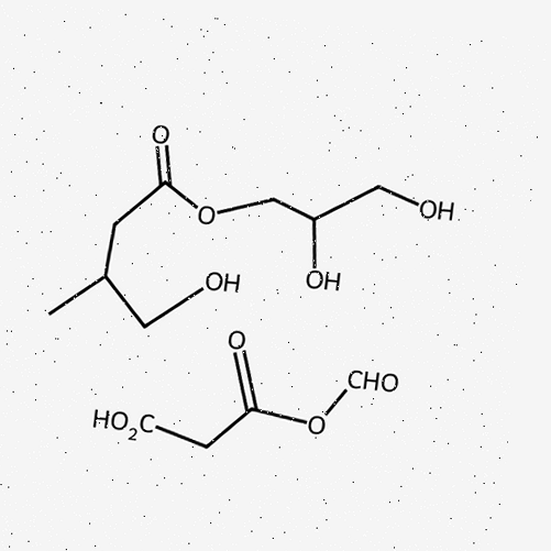 CC(CO)CC(=O)OCC(O)CO.O=COC(=O)CC(=O)O